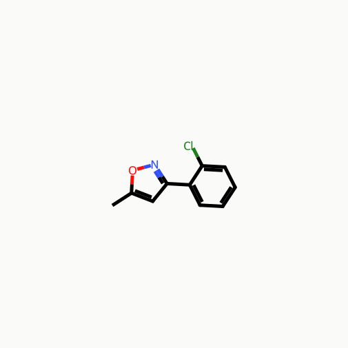 Cc1cc(-c2ccccc2Cl)no1